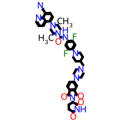 C[C@@H]1CN(c2ccc(C#N)c3ncccc23)[C@@H](C)CN1C(=O)Nc1cc(F)c(N2CCC(CN3CCN(c4ccc5c(c4)C(=O)N(C4CCC(=O)NC4=O)C5=O)CC3)CC2)cc1F